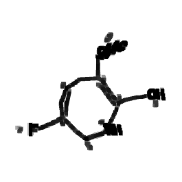 CSC1=C(O)NCC(F)=C1